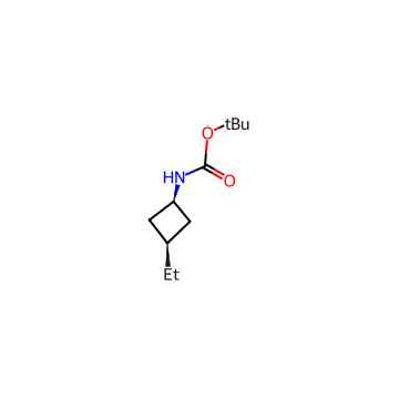 CC[C@H]1C[C@@H](NC(=O)OC(C)(C)C)C1